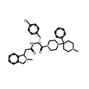 CN1CCC(c2ccccc2)(N2CCN(C(=O)[C@@H](Cc3ccc(Cl)cc3)NC(=O)CC3c4ccccc4CN3C)CC2)CC1